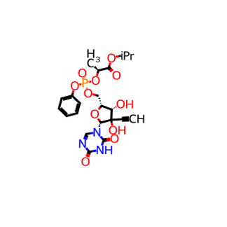 C#CC1(O)[C@@H](O)[C@@H](CO[P@](=O)(Oc2ccccc2)O[C@@H](C)C(=O)OC(C)C)O[C@H]1n1cnc(=O)[nH]c1=O